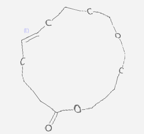 O=C1CCC/C=C/CCCCOCCCCO1